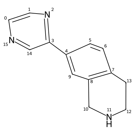 c1cnc(-c2ccc3c(c2)CNCC3)cn1